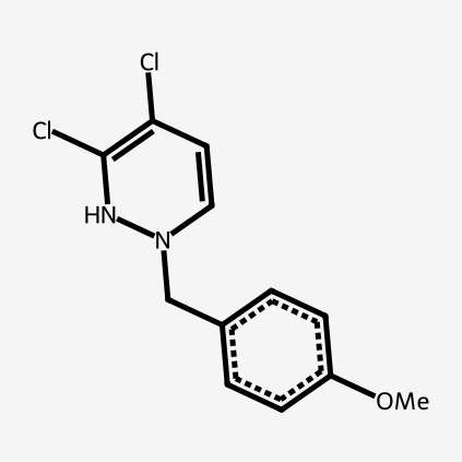 COc1ccc(CN2C=CC(Cl)=C(Cl)N2)cc1